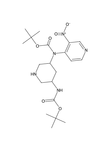 CC(C)(C)OC(=O)NC1CNCC(N(C(=O)OC(C)(C)C)c2ccncc2[N+](=O)[O-])C1